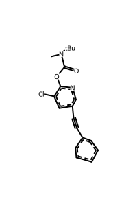 CN(C(=O)Oc1ncc(C#Cc2ccccc2)cc1Cl)C(C)(C)C